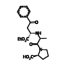 CCOC(=O)[C@H](CC(=O)c1ccccc1)NC(C)C(=O)N1CCC[C@H]1C(=O)O